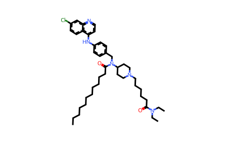 CCCCCCCCCCCC(=O)N(Cc1ccc(Nc2ccnc3cc(Cl)ccc23)cc1)C1CCN(CCCCCC(=O)N(CC)CC)CC1